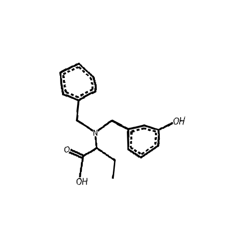 CCC(C(=O)O)N(Cc1ccccc1)Cc1cccc(O)c1